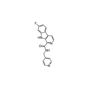 O=C(NCc1ccncc1)c1nccc2c1[nH]c1cc(F)ccc12